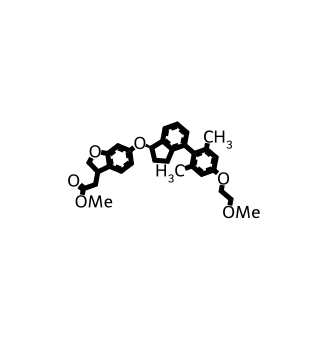 COCCOc1cc(C)c(-c2cccc3c2CC[C@H]3Oc2ccc3c(c2)OCC3CC(=O)OC)c(C)c1